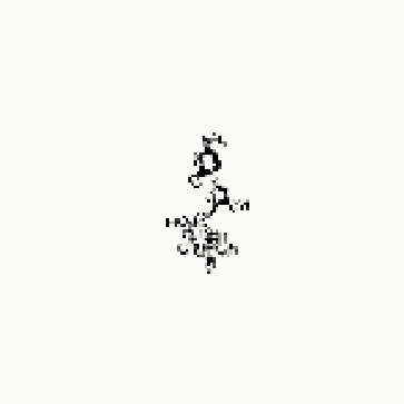 Nc1ccn([C@H]2CC(O)=C(COP(=O)(O)OP(=O)(O)OP(=O)(O)O)O2)c(=O)n1